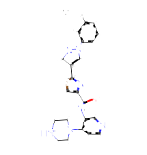 COc1cccc(N2C=C(c3nc(C(=O)Nc4cnccc4N4CCNCC4)cs3)CN2)c1